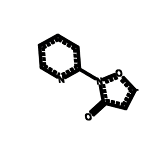 O=c1c[c]on1-c1ccccn1